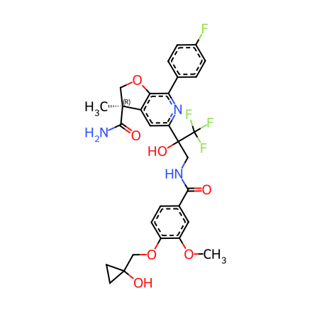 COc1cc(C(=O)NCC(O)(c2cc3c(c(-c4ccc(F)cc4)n2)OC[C@]3(C)C(N)=O)C(F)(F)F)ccc1OCC1(O)CC1